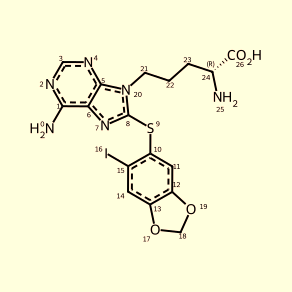 Nc1ncnc2c1nc(Sc1cc3c(cc1I)OCO3)n2CCC[C@@H](N)C(=O)O